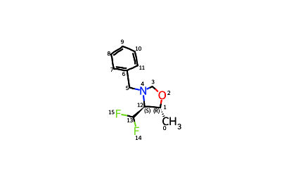 C[C@H]1OCN(Cc2ccccc2)[C@@H]1C(F)F